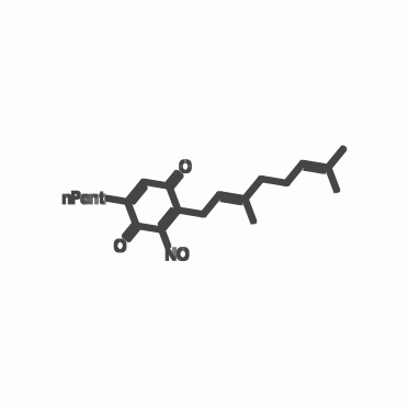 CCCCCC1=CC(=O)C(C/C=C(\C)CCC=C(C)C)=C(N=O)C1=O